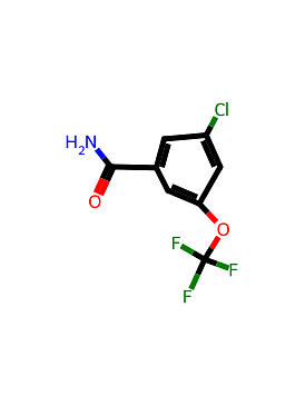 NC(=O)c1cc(Cl)cc(OC(F)(F)F)c1